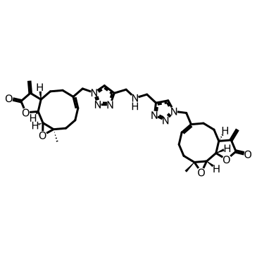 C=C1C(=O)O[C@H]2[C@H]1CC/C(Cn1cc(CNCc3cn(C/C4=C/CC[C@@]5(C)O[C@H]5[C@H]5OC(=O)C(=C)[C@@H]5CC4)nn3)nn1)=C\CC[C@@]1(C)O[C@@H]21